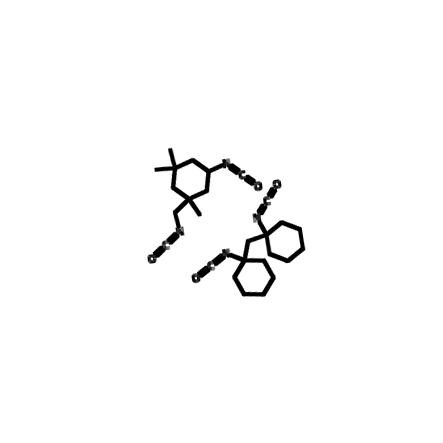 CC1(C)CC(N=C=O)CC(C)(CN=C=O)C1.O=C=NC1(CC2(N=C=O)CCCCC2)CCCCC1